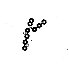 C1=CC2=CC(N(c3cccc(-c4ccc(-c5ccccc5)cc4)c3)c3ccc4oc5cc(-c6ccc7c(c6)oc6ccccc67)ccc5c4c3)=CCC2C=C1